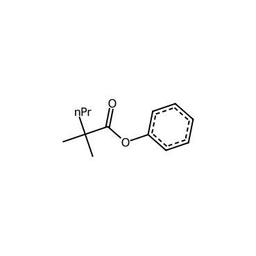 CCCC(C)(C)C(=O)Oc1ccccc1